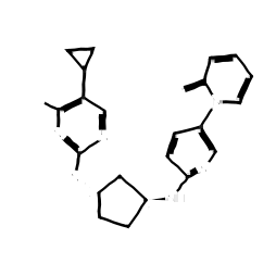 O=c1ccccn1-c1ccc(N[C@H]2CC[C@H](Nc3ncc(C4CC4)c(O)n3)C2)nc1